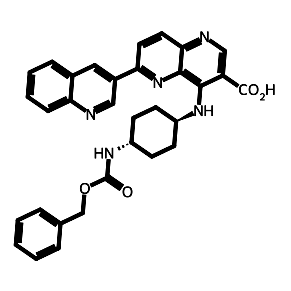 O=C(N[C@H]1CC[C@H](Nc2c(C(=O)O)cnc3ccc(-c4cnc5ccccc5c4)nc23)CC1)OCc1ccccc1